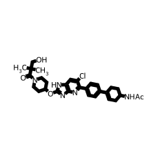 CC(=O)NC1CC=C(c2ccc(-c3nc4nc(OC5CCN(C(=O)C(C)(C)CO)CC5)[nH]c4cc3Cl)cc2)CC1